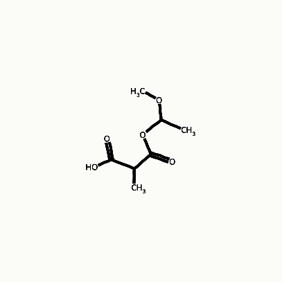 COC(C)OC(=O)C(C)C(=O)O